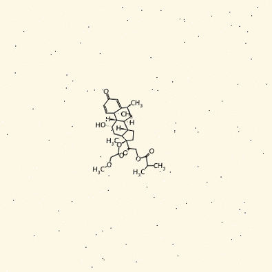 COCC(=O)O[C@]1(C(=O)COC(=O)C(C)C)CC[C@H]2[C@@H]3C[C@H](C)C4=CC(=O)C=C[C@]4(C)[C@H]3[C@@H](O)C[C@@]21C